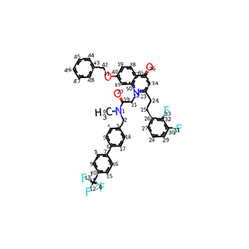 CN(Cc1ccc(-c2ccc(C(F)(F)F)cc2)cc1)C(=O)Cn1c(CCc2cccc(F)c2F)cc(=O)c2ccc(OCc3ccccc3)cc21